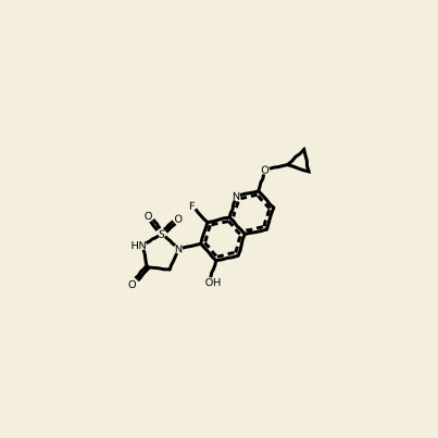 O=C1CN(c2c(O)cc3ccc(OC4CC4)nc3c2F)S(=O)(=O)N1